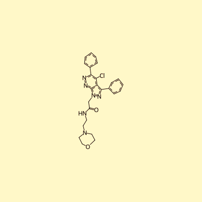 O=C(Cn1nc(-c2ccccc2)c2c(Cl)c(-c3ccccc3)nnc21)NCCN1CCOCC1